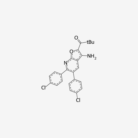 CC(C)(C)C(=O)c1oc2nc(-c3ccc(Cl)cc3)c(-c3ccc(Cl)cc3)cc2c1N